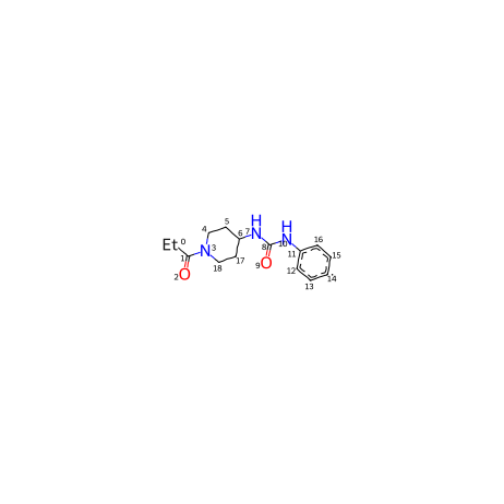 CCC(=O)N1CCC(NC(=O)Nc2cc[c]cc2)CC1